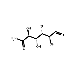 NC(=O)[C@@H](O)[C@@H](O)[C@H](O)[C@H](O)C=O